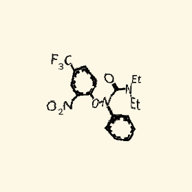 CCN(CC)C(=O)N(Oc1ccc(C(F)(F)F)cc1[N+](=O)[O-])c1ccccc1